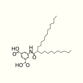 CCCCCCCCCCCCC(CCCCCCCCCC)C(=O)Nc1cc(C(=O)O)cc(C(=O)O)c1